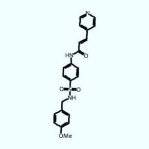 COc1ccc(CNS(=O)(=O)c2ccc(NC(=O)/C=C/c3ccncc3)cc2)cc1